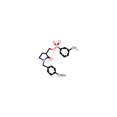 COc1ccc(CN2CCC(COS(=O)(=O)c3cccc(C)c3)C2=O)cc1